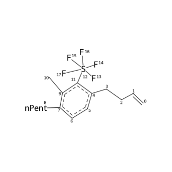 C=CCCc1ccc(CCCCC)c(C)c1S(F)(F)(F)(F)F